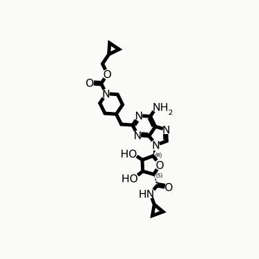 Nc1nc(CC2CCN(C(=O)OCC3CC3)CC2)nc2c1ncn2[C@@H]1O[C@H](C(=O)NC2CC2)C(O)C1O